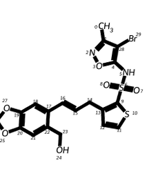 Cc1noc(NS(=O)(=O)c2sccc2CC=Cc2cc3c(cc2CO)OCO3)c1Br